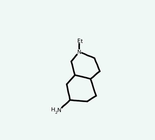 CCN1CCC2CCC(N)CC2C1